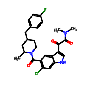 CC1CC(Cc2ccc(F)cc2)CCN1C(=O)c1cc2c(C(=O)C(=O)N(C)C)c[nH]c2cc1Cl